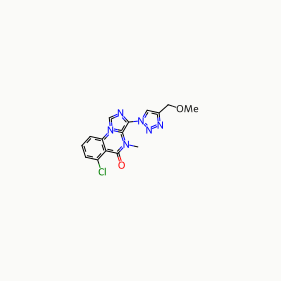 COCc1cn(-c2ncn3c4cccc(Cl)c4c(=O)n(C)c23)nn1